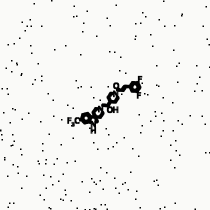 O=C(/C=C/c1cc(F)cc(F)c1)N1CCC(C(O)CN2CCC3(CC2)CNc2cc(C(F)(F)F)ccc23)CC1